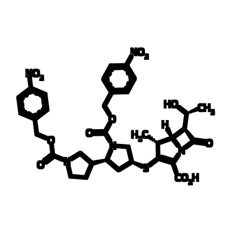 C[C@@H](O)[C@H]1C(=O)N2C(C(=O)O)=C(S[C@H]3C[C@@H](C4CCN(C(=O)OCc5ccc([N+](=O)[O-])cc5)C4)N(C(=O)OCc4ccc([N+](=O)[O-])cc4)C3)[C@H](C)[C@H]12